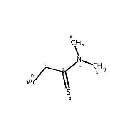 CC(C)CC(=S)N(C)C